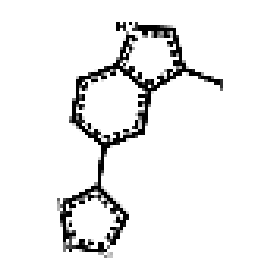 Ic1c[nH]c2ccc(-c3csnn3)cc12